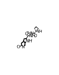 O=C(NNC(=O)C1CCCN1)c1cc2cc(Cl)ncc2[nH]1